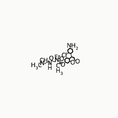 CCN(CC(=O)NCCN(C)C)C(=O)[C@@H](C)Oc1ccc2c(-c3ccc(N)cc3Cl)cc(=O)oc2c1